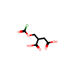 O=C(O)CC(COC(=O)Cl)C(=O)O